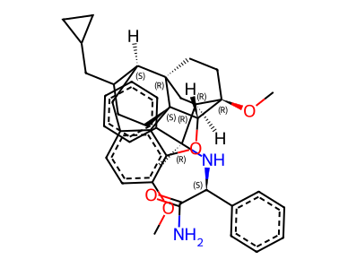 COc1ccc2c3c1O[C@H]1[C@@]4(OC)CC[C@@]5(C[C@@H]4[C@@](C)(N[C@H](C(N)=O)c4ccccc4)c4ccccc4)[C@@H](C2)C(CC2CC2)CC[C@]315